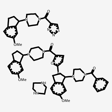 C1CNCCN1.COc1ccc2c(c1)C(N1CCN(C(=O)c3ccc(Br)o3)CC1)CC2.COc1ccc2c(c1)C(N1CCN(C(=O)c3ccccc3)CC1)CC2.COc1ccc2c(c1)C(N1CCN(C(=O)c3csnn3)CC1)CC2